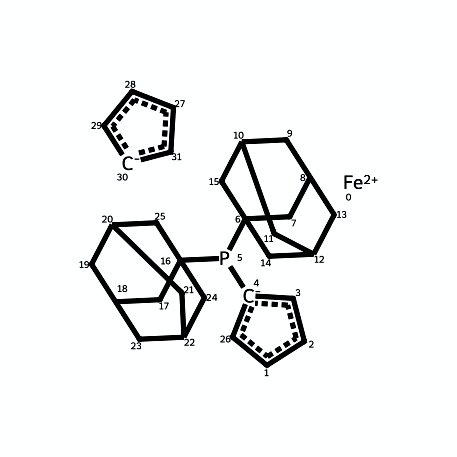 [Fe+2].c1cc[c-](P(C23CC4CC(CC(C4)C2)C3)C23CC4CC(CC(C4)C2)C3)c1.c1cc[cH-]c1